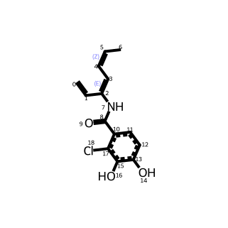 C=C/C(=C\C=C/C)NC(=O)c1ccc(O)c(O)c1Cl